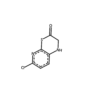 O=C1CNc2ccc(Cl)nc2S1